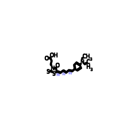 CCN(CC)c1ccc(/C=C/C=C/C=C2/SC(=S)N(CCC(=O)O)C2=O)cc1